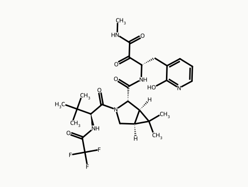 CNC(=O)C(=O)[C@H](Cc1cccnc1O)NC(=O)[C@@H]1[C@@H]2[C@H](CN1C(=O)[C@@H](NC(=O)C(F)(F)F)C(C)(C)C)C2(C)C